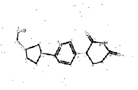 O=CC[C@H]1CCN(c2ccc([C@H]3CCC(=O)NC3=O)cn2)C1